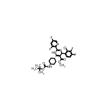 COC(=O)C1=C([C@H]2CC[C@H](NC(=O)OC(C)(C)C)CC2)NC(c2ncc(F)cc2F)=NC1c1ccc(F)c(F)c1Cl